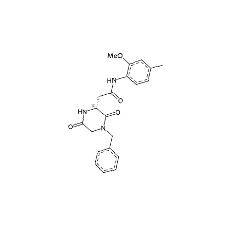 COc1cc(C)ccc1NC(=O)C[C@H]1NC(=O)CN(Cc2ccccc2)C1=O